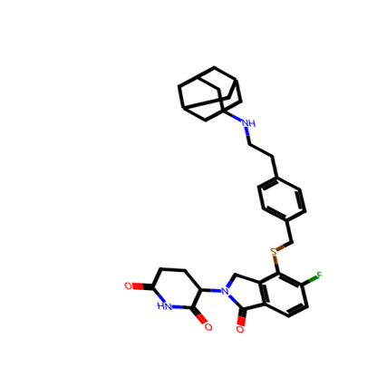 O=C1CCC(N2Cc3c(ccc(F)c3SCc3ccc(CCNC45CC6CC(CC(C6)C4)C5)cc3)C2=O)C(=O)N1